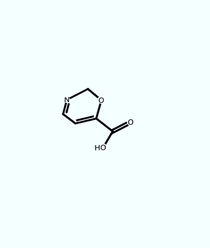 O=C(O)C1=CC=NCO1